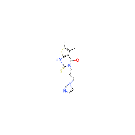 Cc1sc2[nH]c(=S)n(CCCn3ccnc3)c(=O)c2c1C